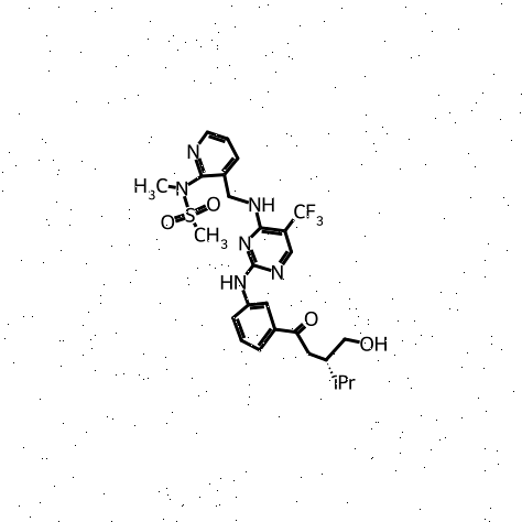 CC(C)[C@@H](CO)CC(=O)c1cccc(Nc2ncc(C(F)(F)F)c(NCc3cccnc3N(C)S(C)(=O)=O)n2)c1